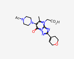 CC(=O)N1CCN(c2c(C)n(CC(=O)O)c3nc(C4=CCOCC4)nn3c2=O)CC1